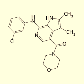 Cc1[nH]c2c(Nc3cccc(Cl)c3)ncc(C(=O)N3CCOCC3)c2c1C